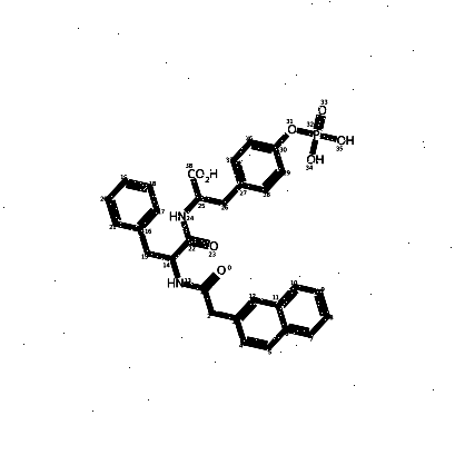 O=C(Cc1ccc2ccccc2c1)NC(Cc1ccccc1)C(=O)NC(Cc1ccc(OP(=O)(O)O)cc1)C(=O)O